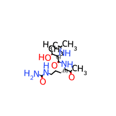 CC(=O)[C@H](CCCNC(N)=O)NC(=O)[C@@H](NC(C)C)C(C)O